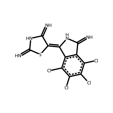 N=C1NC(=N)/C(=C2\NC(=N)c3c(Cl)c(Cl)c(Cl)c(Cl)c32)S1